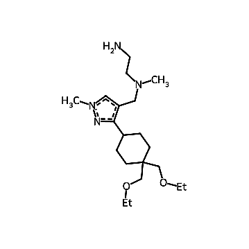 CCOCC1(COCC)CCC(c2nn(C)cc2CN(C)CCN)CC1